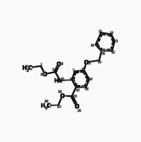 CCOC(=O)Nc1cc(OCc2ccccc2)ccc1C(=O)OCC